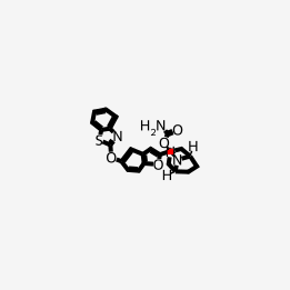 NC(=O)ON1C[C@H]2CC[C@@H](C1)N2Cc1cc2cc(Oc3nc4ccccc4s3)ccc2o1